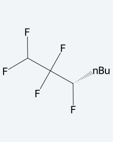 [CH2]CCC[C@H](F)C(F)(F)C(F)F